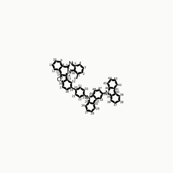 Cc1cccc2nc3c4ccccc4c4oc5ccc(-c6ccc(-n7c8ccccc8c8cc(-n9c%10ccccc%10c%10ccccc%109)ccc87)cc6)cc5c4n3c12